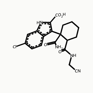 N#CCNC(=O)C1CCCCC1(C(N)=O)c1c(C(=O)O)[nH]c2cc(Cl)ccc12